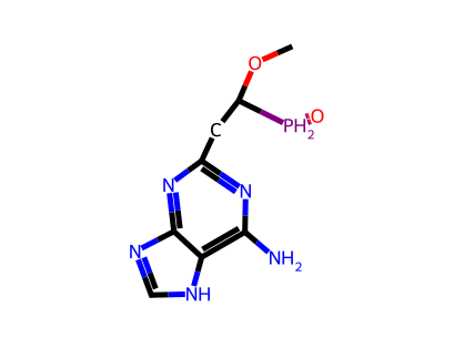 COC(Cc1nc(N)c2[nH]cnc2n1)[PH2]=O